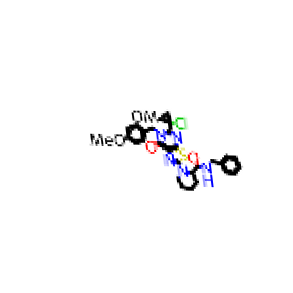 COc1ccc(Cn2c(C3(Cl)CC3)nc3sc(N4CCCCC4C(=O)NCc4ccccc4)nc3c2=O)c(OC)c1